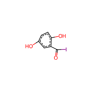 O=C(I)c1cc(O)ccc1O